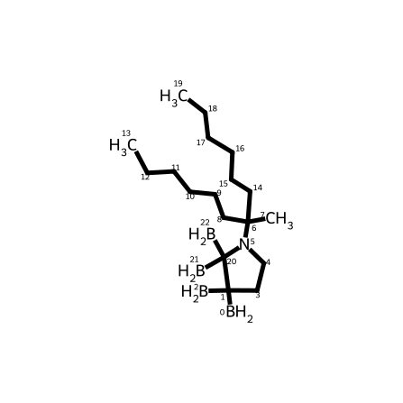 BC1(B)CCN(C(C)(CCCCCC)CCCCCC)C1(B)B